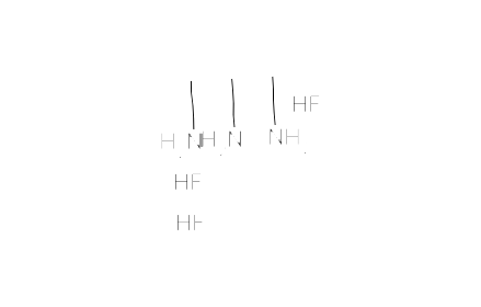 CN.CN.CN.F.F.F